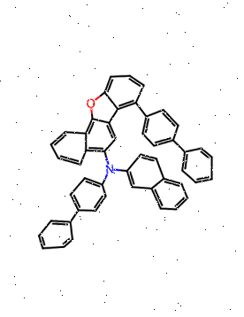 c1ccc(-c2ccc(-c3cccc4oc5c6ccccc6c(N(c6ccc(-c7ccccc7)cc6)c6ccc7ccccc7c6)cc5c34)cc2)cc1